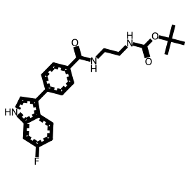 CC(C)(C)OC(=O)NCCNC(=O)c1ccc(-c2c[nH]c3cc(F)ccc23)cc1